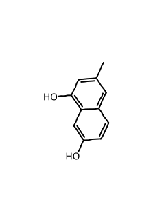 Cc1cc(O)c2cc(O)ccc2c1